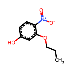 CCCOc1cc(O)ccc1[N+](=O)[O-]